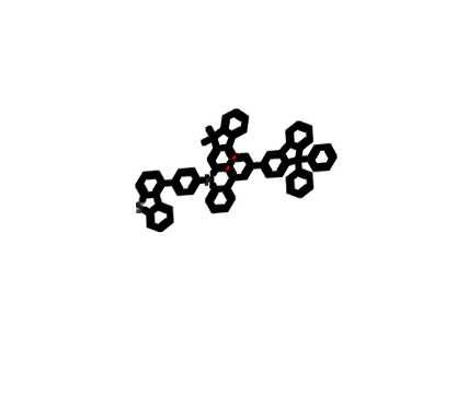 CC1(C)c2ccccc2-c2ccc(N(c3ccc(-c4cccc5sc6ccccc6c45)cc3)c3ccccc3-c3cccc(-c4ccc5c(c4)-c4ccccc4C5(c4ccccc4)c4ccccc4)c3)cc21